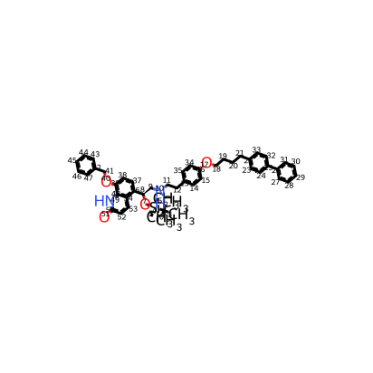 CC(C)(C)[Si](C)(C)O[C@H](CNCCc1ccc(OCCCCc2c[c]c(-c3ccccc3)cc2)cc1)c1ccc(OCc2ccccc2)c2[nH]c(=O)ccc12